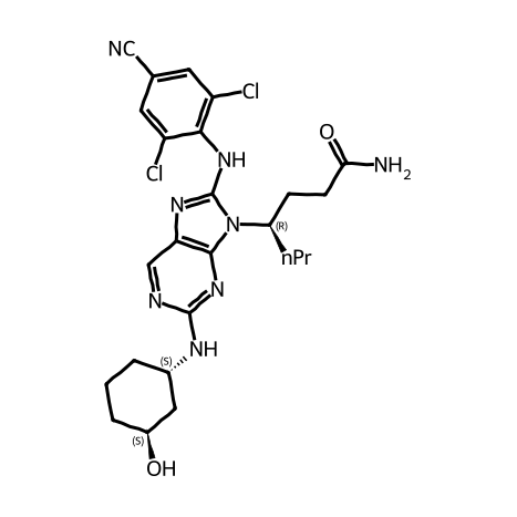 CCC[C@H](CCC(N)=O)n1c(Nc2c(Cl)cc(C#N)cc2Cl)nc2cnc(N[C@H]3CCC[C@H](O)C3)nc21